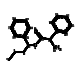 CCCC(OC(=O)C(N)c1ccccc1)c1ccccc1